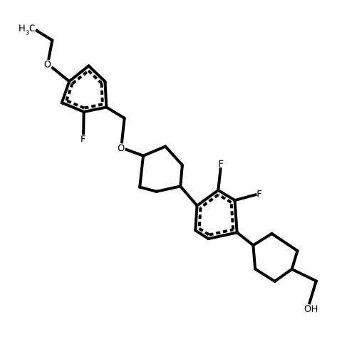 CCOc1ccc(COC2CCC(c3ccc(C4CCC(CO)CC4)c(F)c3F)CC2)c(F)c1